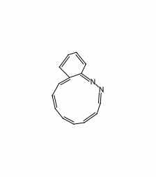 C1=CC=CC=c2ccccc2=NN=CC=C1